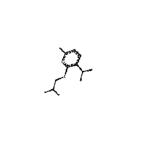 Cc1ccc(C(C)C)c(SCC(C)C)n1